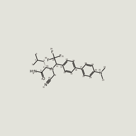 CC(C)C[C@@H](C(N)=O)N(CC#N)C(c1ccc(-c2ccc(N(C)C)cc2)cc1)C(F)(F)F